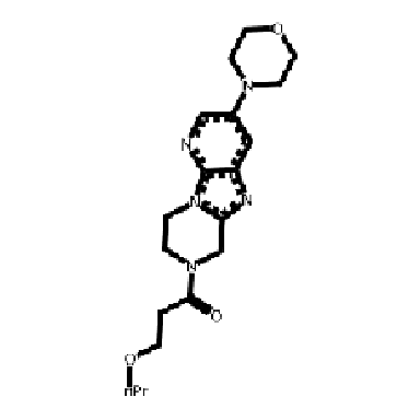 CCCOCCC(=O)N1CCn2c(nc3cc(N4CCOCC4)cnc32)C1